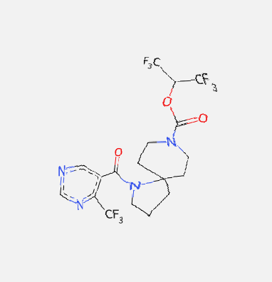 O=C(OC(C(F)(F)F)C(F)(F)F)N1CCC2(CCCN2C(=O)c2cncnc2C(F)(F)F)CC1